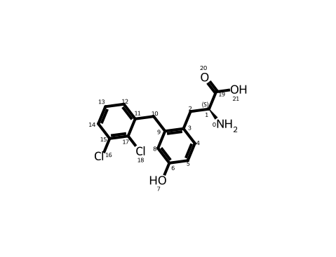 N[C@@H](Cc1ccc(O)cc1Cc1cccc(Cl)c1Cl)C(=O)O